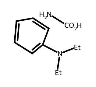 CCN(CC)c1ccccc1.NC(=O)O